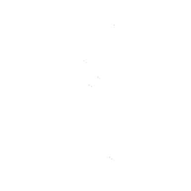 O=C(Cc1ccc(-c2ccc3nc([C@@H]4CCCN4C(=O)OCc4ccccc4)[nH]c3c2)cc1)NC1CC1